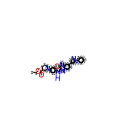 CCOC(=O)C1CCCN(c2ccc(Nc3nc4ccc(-c5cnn(-c6ccccc6)c5)cc4n(C)c3=O)cc2)C1